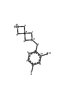 Fc1cnc(CN2CC3(CNC3)C2)c(F)c1